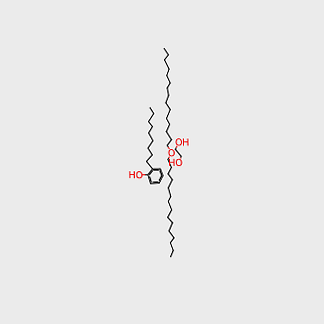 CCCCCCCCCCCCCCCOCCCCCCCCCCCCCCC.CCCCCCCCCc1ccccc1O.OCCO